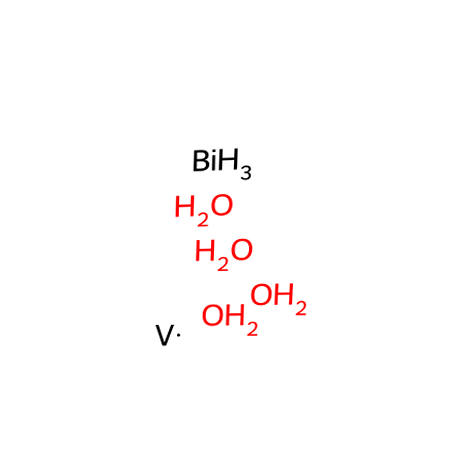 O.O.O.O.[BiH3].[V]